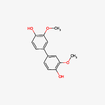 COc1cc(-c2ccc(O)c(OC)c2)ccc1O